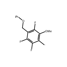 [CH2]c1c(F)c(F)c(COC(C)C)c(F)c1OC